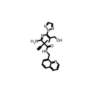 C#CC(C)(C(=O)NCc1cccc2cccnc12)/C(N)=N\C(=C(/C)CO)n1nccn1